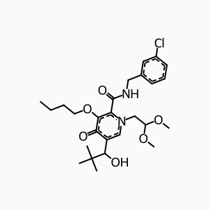 CCCCOc1c(C(=O)NCc2cccc(Cl)c2)n(CC(OC)OC)cc(C(O)C(C)(C)C)c1=O